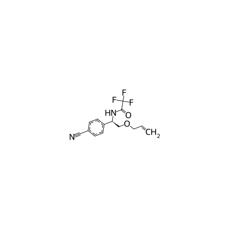 C=CCOC[C@H](NC(=O)C(F)(F)F)c1ccc(C#N)cc1